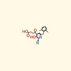 Cc1cccc(C)c1Cc1cc(C(=O)CCC(=O)O)c(O)c(C#N)n1